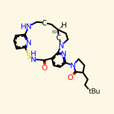 CC(C)(C)CCC1CCN(c2ccc3c(n2)N2CC[C@H](CCCNc4cccc(n4)SNC3=O)C2)C1=O